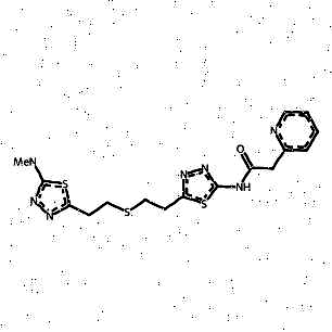 CNc1nnc(CCSCCc2nnc(NC(=O)Cc3ccccn3)s2)s1